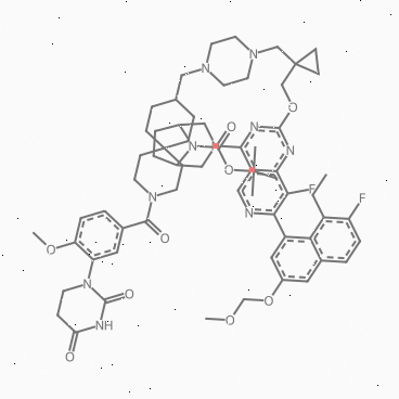 CCc1c(F)ccc2cc(OCOC)cc(-c3ncc4c(N5CC6CCC(C5)N6C(=O)OC(C)(C)C)nc(OCC5(CN6CCN(CC7CCC8(CC7)CCN(C(=O)c7ccc(OC)c(N9CCC(=O)NC9=O)c7)CC8)CC6)CC5)nc4c3F)c12